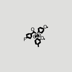 COc1ccc(N(C(=O)c2ccc(F)cc2)S(=O)(=O)c2ccc(C)cc2OC)cc1